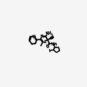 C#CC(C)(C(=O)NC1CCCC1I)/C(N)=N\C(C1=NC=CCC1)=C(C)C